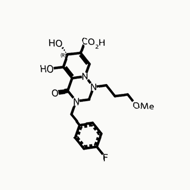 COCCCN1CN(Cc2ccc(F)cc2)C(=O)C2=C(O)[C@H](O)C(C(=O)O)=CN21